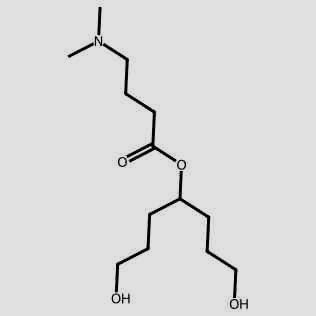 CN(C)CCCC(=O)OC(CCCO)CCCO